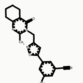 Cc1nc2c(c(=O)n1Cc1cc(-c3cc(O)cc(C#N)c3)on1)CCCC2